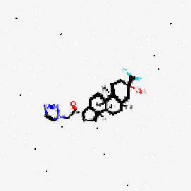 O=C(Cn1ccnn1)[C@H]1CC[C@@H]2C1CC[C@H]1[C@H]2CC[C@H]2C[C@@](O)(C(F)F)CC[C@@H]21